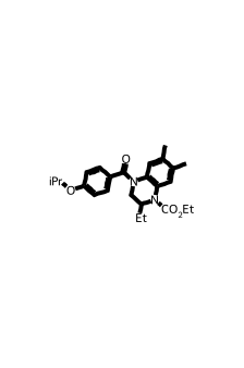 CCOC(=O)N1c2cc(C)c(C)cc2N(C(=O)c2ccc(OC(C)C)cc2)CC1CC